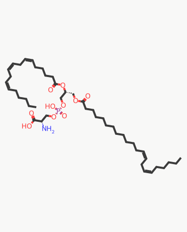 CCCCC/C=C\C/C=C\C/C=C\CCCCC(=O)O[C@H](COC(=O)CCCCCCCCCCC/C=C\C/C=C\CCCCC)COP(=O)(O)OC[C@H](N)C(=O)O